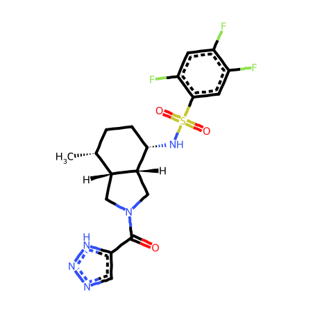 C[C@@H]1CC[C@H](NS(=O)(=O)c2cc(F)c(F)cc2F)[C@@H]2CN(C(=O)c3cnn[nH]3)C[C@@H]21